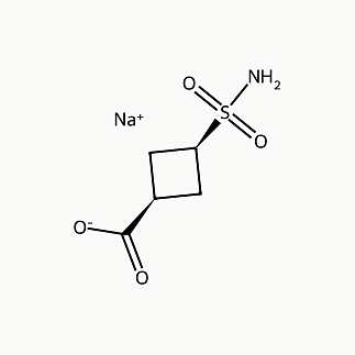 NS(=O)(=O)[C@H]1C[C@@H](C(=O)[O-])C1.[Na+]